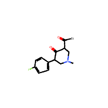 CCC(=O)C1CN(C)CC(c2ccc(F)cc2)C1=O